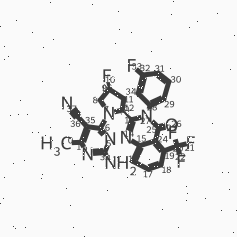 Cc1nc(N)nc(N2C[C@@H](F)C[C@H]2c2nc3cccc(C(F)(F)F)c3c(=O)n2-c2cccc(F)c2)c1C#N